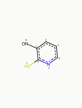 O=Nc1cccnc1S